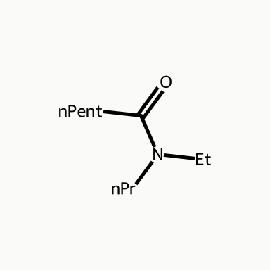 [CH2]CCCCC(=O)N(CC)CCC